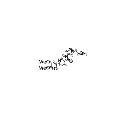 COc1cc(-c2ccc3c(n2)CN(c2cnn(CCO)c2)C3=O)cnc1OC